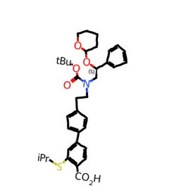 CC(C)Sc1cc(-c2ccc(CCN(C[C@@H](OC3CCCCO3)c3ccccc3)C(=O)OC(C)(C)C)cc2)ccc1C(=O)O